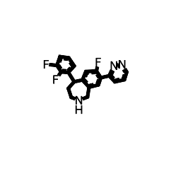 Fc1cc2c(cc1-c1cccnn1)CNCCC2c1cccc(F)c1F